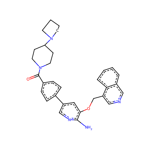 Nc1ncc(-c2ccc(C(=O)N3CCC(N4CCCC4)CC3)cc2)cc1OCc1cncc2ccccc12